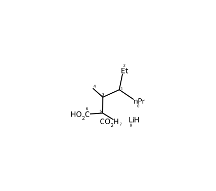 CCCC(CC)C(C)C(C(=O)O)C(=O)O.[LiH]